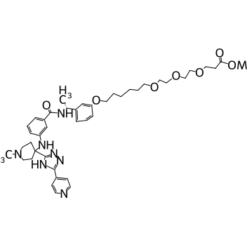 COC(=O)CCOCCOCCOCCCCCCOc1cccc([C@@H](C)NC(=O)c2cccc(NC3(c4nnc(-c5ccncc5)[nH]4)CCN(C)CC3)c2)c1